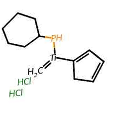 Cl.Cl.[CH2]=[Ti]([PH]C1CCCCC1)[C]1=CC=CC1